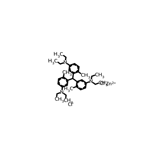 CCN(CC)c1ccc(C)c(C(c2cc(N(CC)CC)ccc2C)c2cc(N(CC)CC)ccc2C)c1.[Cl-].[Cl-].[Zn+2]